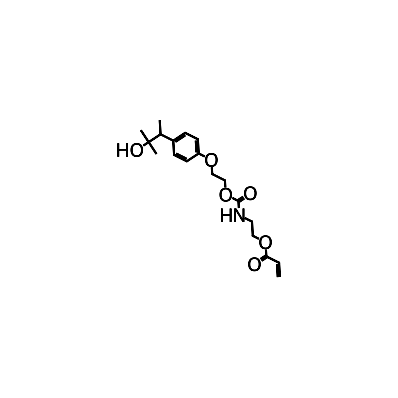 C=CC(=O)OCCNC(=O)OCCOc1ccc(C(C)C(C)(C)O)cc1